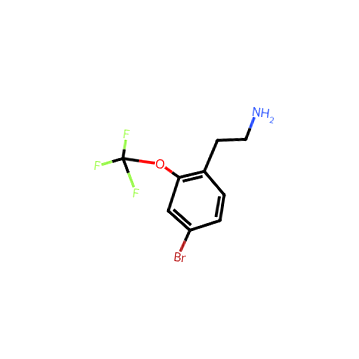 NCCc1ccc(Br)cc1OC(F)(F)F